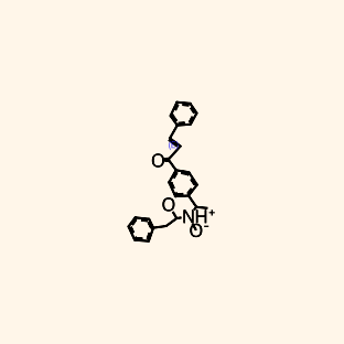 CC1c2ccc(C(=O)/C=C/c3ccccc3)cc2OC(Cc2ccccc2)[NH+]1[O-]